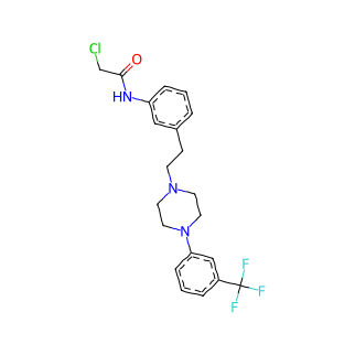 O=C(CCl)Nc1cccc(CCN2CCN(c3cccc(C(F)(F)F)c3)CC2)c1